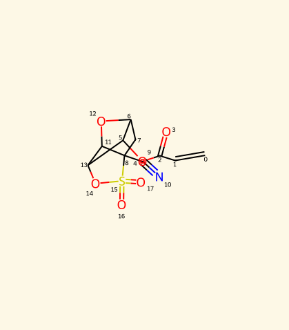 C=CC(=O)OC1C2CC3(C#N)C(O2)C1OS3(=O)=O